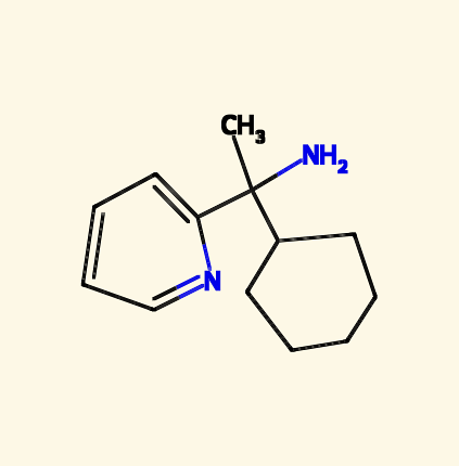 CC(N)(c1ccccn1)C1CCCCC1